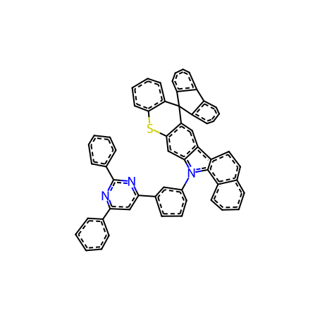 c1ccc(-c2cc(-c3cccc(-n4c5cc6c(cc5c5ccc7ccccc7c54)C4(c5ccccc5S6)c5ccccc5-c5ccccc54)c3)nc(-c3ccccc3)n2)cc1